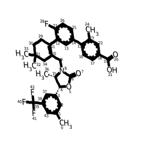 Cc1cc([C@H]2OC(=O)N(CC3=C(c4cc(-c5ccc(C(=O)O)cc5C)ccc4F)CCC(C)(C)C3)[C@H]2C)cc(C(F)(F)F)c1